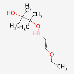 CCO/C=C/BOC(C)(C)C(C)(C)O